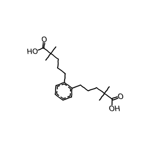 CC(C)(CCCc1ccccc1CCCC(C)(C)C(=O)O)C(=O)O